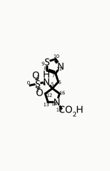 CS(=O)(=O)NC1(Cc2cscn2)CCN(C(=O)O)C1